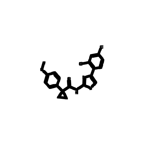 COc1ccc(C2(C(=O)Nc3nc(-c4ccc(Cl)cc4Cl)cs3)CC2)cc1